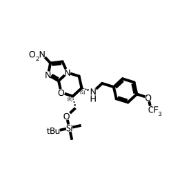 CC(C)(C)[Si](C)(C)OC[C@@H]1Oc2nc([N+](=O)[O-])cn2C[C@@H]1NCc1ccc(OC(F)(F)F)cc1